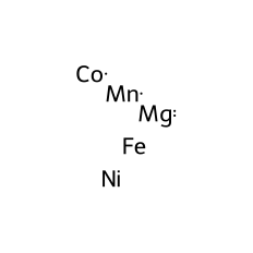 [Co].[Fe].[Mg].[Mn].[Ni]